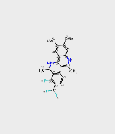 COc1cc2nc(C)cc(N[C@H](C)c3cccc(C(F)F)c3F)c2cc1OC